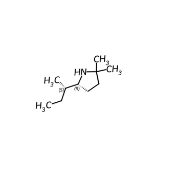 CC[C@H](C)[C@H]1CCC(C)(C)N1